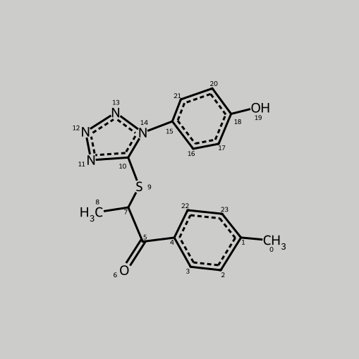 Cc1ccc(C(=O)C(C)Sc2nnnn2-c2ccc(O)cc2)cc1